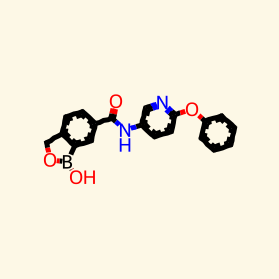 O=C(Nc1ccc(Oc2ccccc2)nc1)c1ccc2c(c1)B(O)OC2